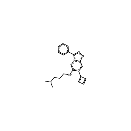 CN(C)CCCNc1nn2c(-c3ccccc3)nnc2cc1C1=CC=C1